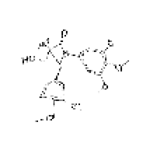 COc1ccc([C@@H]2N(c3cc(OC)c(OC)c(OC)c3)C(=O)[C@]2(O)CO)cc1O